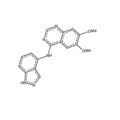 COc1cc2ncnc(Nc3cccc4[nH]ncc34)c2cc1OC